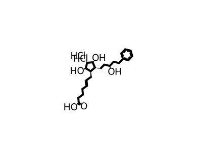 Cl.Cl.O=C(O)CCC/C=C/C[C@@H]1[C@@H](CC[C@@H](O)CCc2ccccc2)[C@H](O)C[C@@H]1O